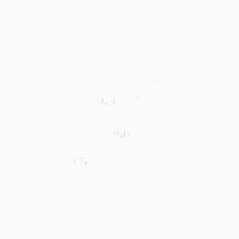 N.NCCNCCS(=O)(=O)O